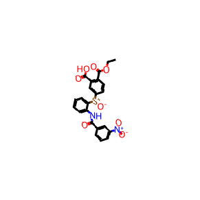 CCOC(=O)c1ccc([S+]([O-])c2ccccc2NC(=O)c2cccc([N+](=O)[O-])c2)cc1C(=O)O